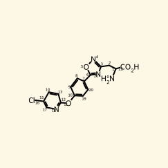 NC(Cc1noc(-c2ccc(Oc3ccc(Cl)cn3)cc2)n1)C(=O)O